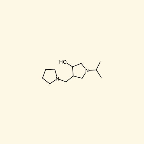 CC(C)N1CC(O)C(CN2CCCC2)C1